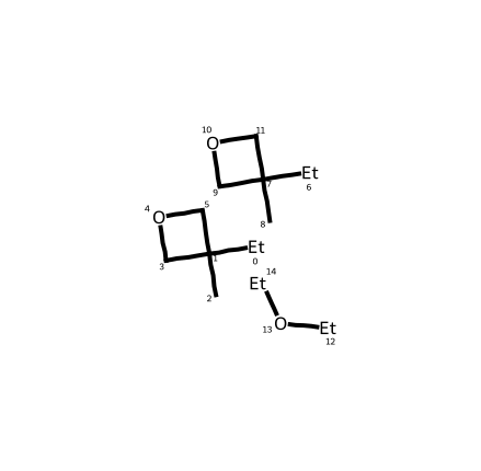 CCC1(C)COC1.CCC1(C)COC1.CCOCC